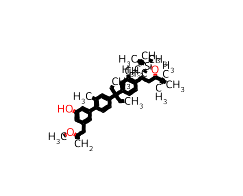 C=C(Cc1cc(O)cc(-c2ccc(C(CC)(CC)c3ccc(CCC(O[Si](C)(C)C(C)(C)C)C(C)(C)C)c(C)c3)cc2C)c1)OC